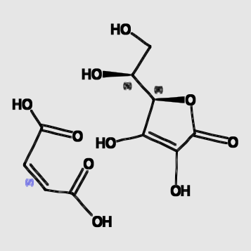 O=C(O)/C=C\C(=O)O.O=C1O[C@H]([C@@H](O)CO)C(O)=C1O